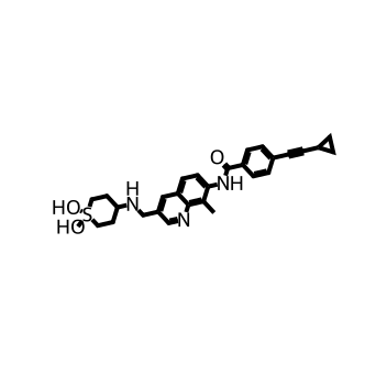 Cc1c(NC(=O)c2ccc(C#CC3CC3)cc2)ccc2cc(CNC3CCS(O)(O)CC3)cnc12